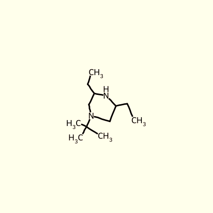 CCC1CN(C(C)(C)C)CC(CC)N1